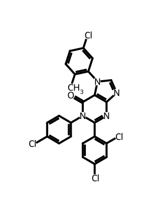 Cc1ccc(Cl)cc1-n1cnc2nc(-c3ccc(Cl)cc3Cl)n(-c3ccc(Cl)cc3)c(=O)c21